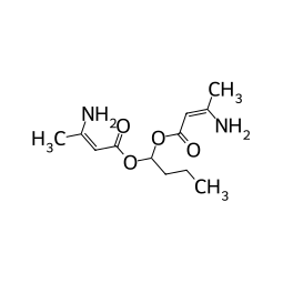 CCCC(OC(=O)/C=C(/C)N)OC(=O)/C=C(/C)N